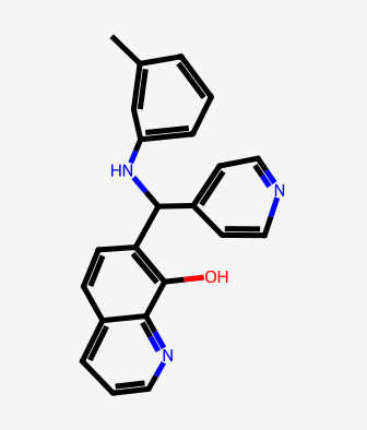 Cc1cccc(NC(c2ccncc2)c2ccc3cccnc3c2O)c1